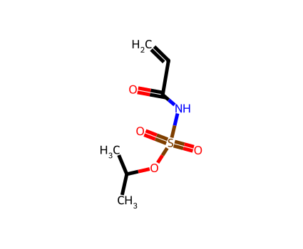 C=CC(=O)NS(=O)(=O)OC(C)C